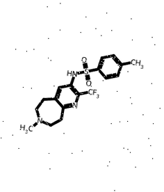 Cc1ccc(S(=O)(=O)Nc2cc3c(nc2C(F)(F)F)CCN(C)CC3)cc1